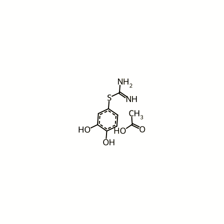 CC(=O)O.N=C(N)Sc1ccc(O)c(O)c1